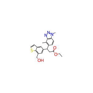 CCOC(=O)CC(c1cc(CO)c2sccc2c1)c1ccc2c(nnn2C)c1C